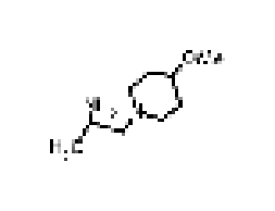 COC1CCN(CC(C)N)CC1